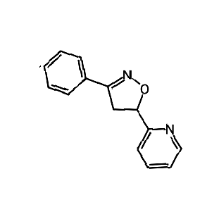 [c]1ccc(C2=NOC(c3ccccn3)C2)cc1